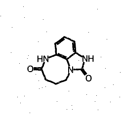 O=C1CCCn2c(=O)[nH]c3cccc(c32)N1